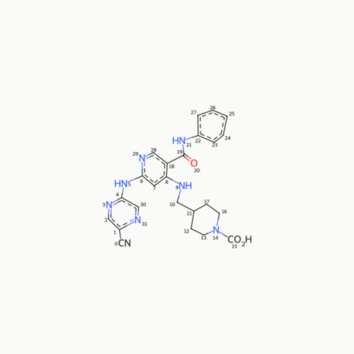 N#Cc1cnc(Nc2cc(NCC3CCN(C(=O)O)CC3)c(C(=O)Nc3ccccc3)cn2)cn1